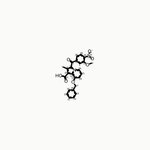 COc1cc(C(=O)c2c(C)c(C(=O)O)c3c(OCc4ccccc4)cccn23)ccc1[N+](=O)[O-]